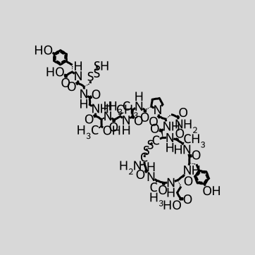 C[C@H](NC(=O)[C@H](C)NC(=O)[C@@H]1CCCN1C(=O)[C@H](CC(N)=O)NC(=O)[C@@H]1CSSC[C@H](N)C(=O)N[C@@H](C)C(=O)N[C@@H](CCC(=O)O)C(=O)N[C@@H](Cc2ccc(O)cc2)C(=O)N[C@@H](C)C(=O)N1)C(=O)N[C@H](C(=O)NCC(=O)N[C@@H](CSSS)C(=O)N[C@@H](Cc1ccc(O)cc1)C(=O)O)[C@H](C)O